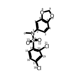 CN(c1ccc2c(c1)OCO2)S(=O)(=O)c1ccc(Cl)cc1Cl